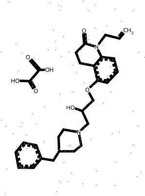 C=CCN1C(=O)CCc2c(OCC(O)CN3CCC(Cc4ccccc4)CC3)cccc21.O=C(O)C(=O)O